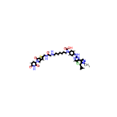 Cn1ncc(-c2nc(NC3CCC(N(CCCCCCCNCC(=O)NCc4cc5c(s4)C(=O)N(C4CCC(=O)NC4=O)C5)C(=O)O)CC3)ncc2Cl)c1CC1CC1